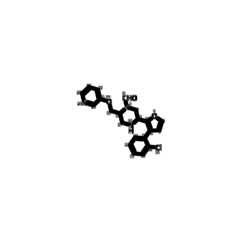 O=CN1CC(c2occc2-c2ccccc2Cl)NCC1COc1cccnc1